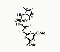 COc1cc(OC)nc(NC(=O)NS(=O)(=O)Nn2c(C)ccc2C)n1